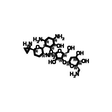 NC[C@@H]1O[C@H](O[C@H]2[C@@H](O)[C@H](O[C@@H]3[C@@H](O)[C@H](N)C[C@H](N)[C@H]3C3O[C@H](C4(N)CC4)CC[C@H]3N)O[C@@H]2CO)C[C@@H](O)[C@@H]1O